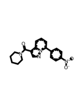 O=C(c1cnn2c(-c3ccc([N+](=O)[O-])cc3)cccc12)N1CCCCC1